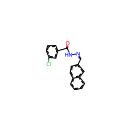 O=C(N/N=C\c1ccc2ccccc2c1)c1cccc(Cl)c1